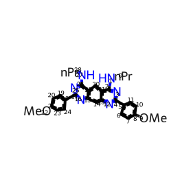 CCCNc1nc(-c2ccc(OC)cc2)nc2cc3nc(-c4ccc(OC)cc4)nc(NCCC)c3cc12